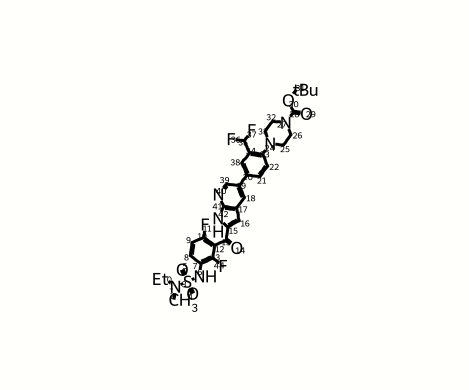 CCN(C)S(=O)(=O)Nc1ccc(F)c(C(=O)c2cc3cc(-c4ccc(N5CCN(C(=O)OC(C)(C)C)CC5)c(C(F)F)c4)cnc3[nH]2)c1F